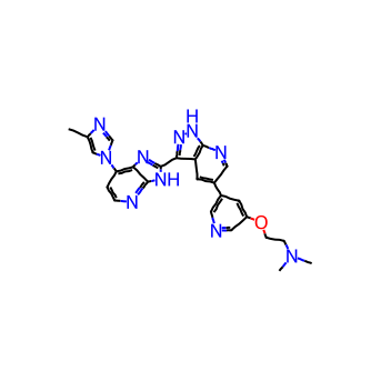 Cc1cn(-c2ccnc3[nH]c(-c4n[nH]c5ncc(-c6cncc(OCCN(C)C)c6)cc45)nc23)cn1